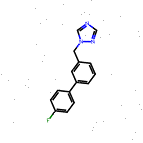 Fc1ccc(-c2cccc(Cn3cncn3)c2)cc1